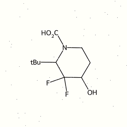 CC(C)(C)C1N(C(=O)O)CCC(O)C1(F)F